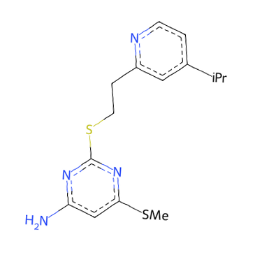 CSc1cc(N)nc(SCCc2cc(C(C)C)ccn2)n1